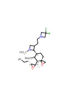 CO[C@H]1[C@@H](C2C(CCN3CC(F)(F)C3)CN2C(=O)O)CC[C@]2(CO2)[C@H]1[C@@]1(C)O[C@@H]1CCC(C)C